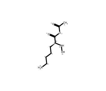 CC(=O)OC(=O)[C@H](CCCCN)NO